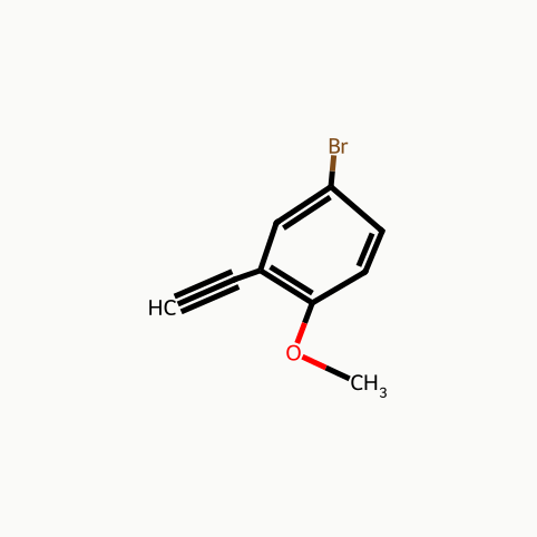 C#Cc1cc(Br)ccc1OC